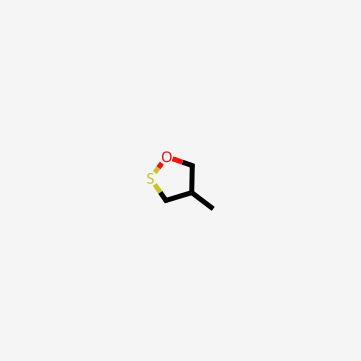 CC1COSC1